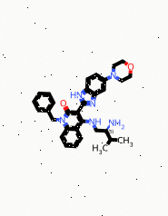 CC(C)[C@H](N)CNc1c(-c2nc3cc(N4CCOCC4)ccc3[nH]2)c(=O)n(Cc2ccccc2)c2ccccc12